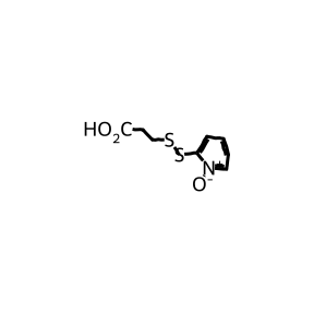 O=C(O)CCSSc1cccc[n+]1[O-]